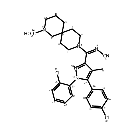 Cc1c(C(=NC#N)N2CCC3(CCCN(C(=O)O)C3)CC2)nn(-c2ccccc2Cl)c1-c1ccc(Cl)cc1